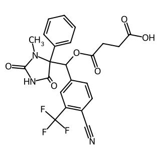 CN1C(=O)NC(=O)C1(c1ccccc1)C(OC(=O)CCC(=O)O)c1ccc(C#N)c(C(F)(F)F)c1